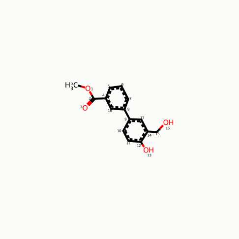 COC(=O)c1cccc(-c2ccc(O)c(CO)c2)c1